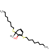 CCCCCCCCSC1=C(O)C(C)(SCCCCCCCC)CC=C1